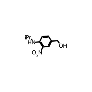 CC(C)Nc1ccc(CO)cc1[N+](=O)[O-]